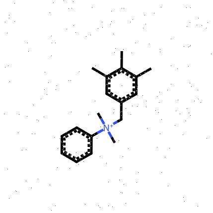 Cc1cc(C[N+](C)(C)c2ccccc2)cc(C)c1C